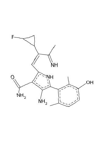 CC(=N)/C(=C\c1[nH]c(-c2c(C)ccc(O)c2C)c(N)c1C(N)=O)C1CC1F